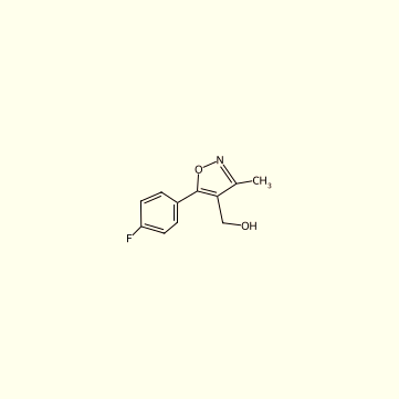 Cc1noc(-c2ccc(F)cc2)c1CO